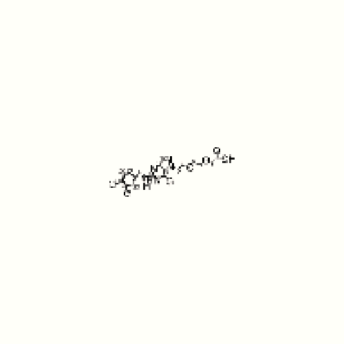 O=C(O)COCCOCCn1ncc2nc(NCc3ccc(Cl)c(Cl)c3)[nH]c(=O)c21